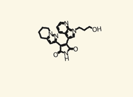 O=C1NC(=O)C(c2cn(CCCO)c3ncccc23)=C1c1cc2n(n1)CCCC2